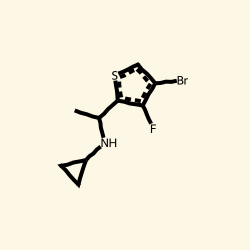 CC(NC1CC1)c1scc(Br)c1F